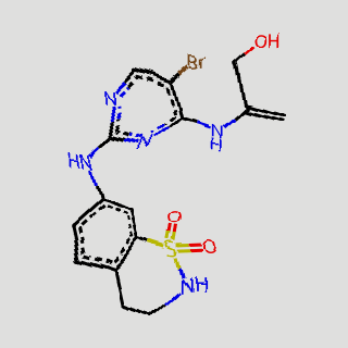 C=C(CO)Nc1nc(Nc2ccc3c(c2)S(=O)(=O)NCC3)ncc1Br